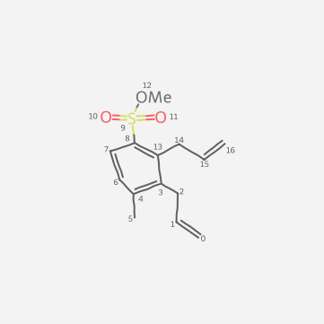 C=CCc1c(C)ccc(S(=O)(=O)OC)c1CC=C